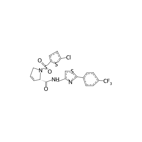 O=C(NCc1csc(-c2ccc(C(F)(F)F)cc2)n1)[C@@H]1C=CCN1S(=O)(=O)c1ccc(Cl)s1